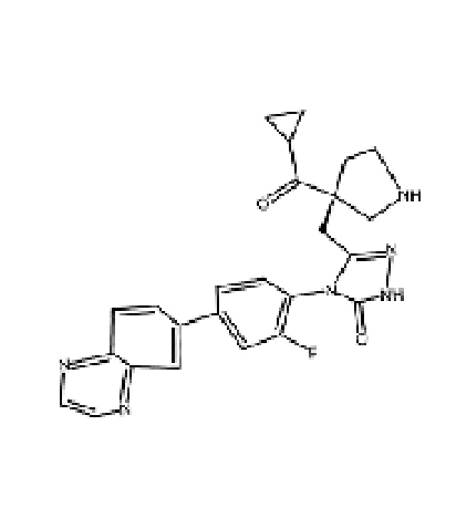 O=C(C1CC1)[C@]1(Cc2n[nH]c(=O)n2-c2ccc(-c3ccc4nccnc4c3)cc2F)CCNC1